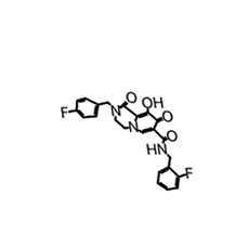 O=C(NCc1ccccc1F)c1cn2c(c(O)c1=O)C(=O)N(Cc1ccc(F)cc1)CC2